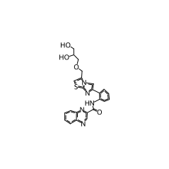 O=C(Nc1ccccc1-c1cn2c(COCC(O)CO)csc2n1)c1cnc2ccccc2n1